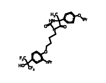 CCCc1cc(C(O)(C(F)(F)F)C(F)(F)F)ccc1OCCCCN1C(=O)NC(C)(c2ccc(OC(C)C)cc2)C1=O